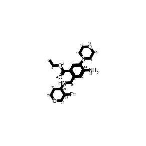 CCOC(=O)c1cc(N2CCOCC2)c(N)cc1CNC1CCOCC1F